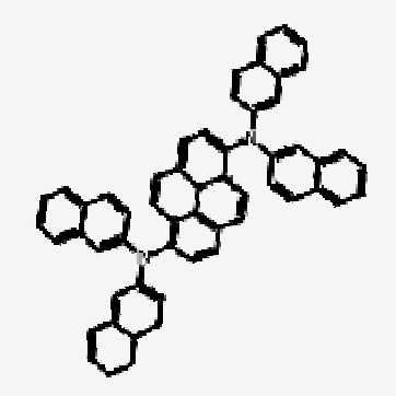 C1=CC2=CC(N(c3ccc4ccccc4c3)c3ccc4c5c3C=CC3=CC=C(N(c6ccc7ccccc7c6)c6ccc7ccccc7c6)[C@H](C=C4)C35)=CCC2CC1